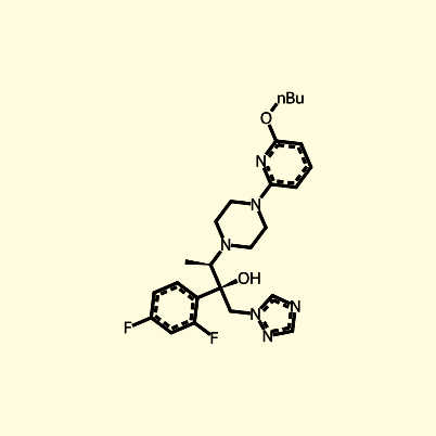 CCCCOc1cccc(N2CCN([C@H](C)[C@](O)(Cn3cncn3)c3ccc(F)cc3F)CC2)n1